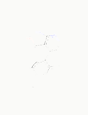 Nc1nccc(-c2ccc(Cl)cc2F)c1CO